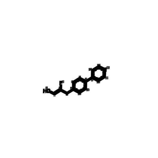 O/C=C(\F)Cc1ccc(-c2ccncc2)cc1